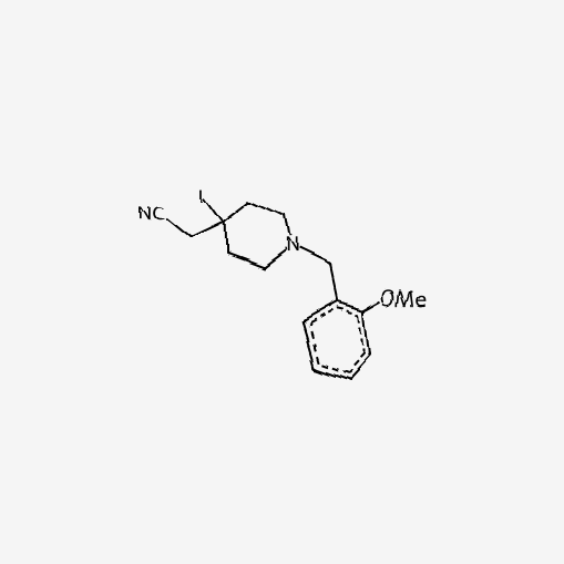 COc1ccccc1CN1CCC(I)(CC#N)CC1